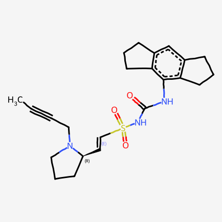 CC#CCN1CCC[C@@H]1/C=C/S(=O)(=O)NC(=O)Nc1c2c(cc3c1CCC3)CCC2